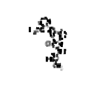 COc1nccnc1-c1cc([C@@H]2CCCN2c2nc(Cl)cc(Nc3cc(C)[nH]n3)n2)on1